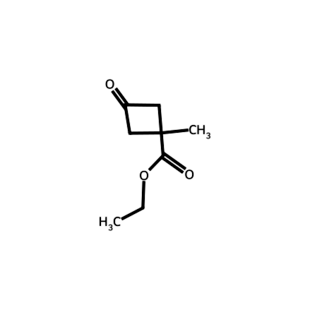 CCOC(=O)C1(C)CC(=O)C1